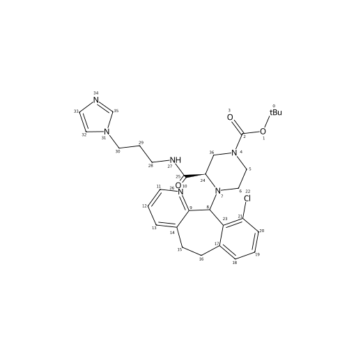 CC(C)(C)OC(=O)N1CCN(C2c3ncccc3CCc3cccc(Cl)c32)[C@@H](C(=O)NCCCn2ccnc2)C1